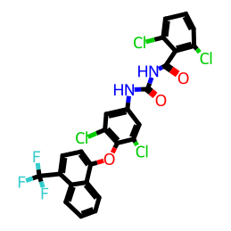 O=C(NC(=O)c1c(Cl)cccc1Cl)Nc1cc(Cl)c(Oc2ccc(C(F)(F)F)c3ccccc23)c(Cl)c1